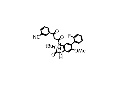 COc1cc(NC(=O)OC(C)(C)C)c(NC(=O)CC(=O)c2cccc(C#N)c2)cc1-c1ccccc1F